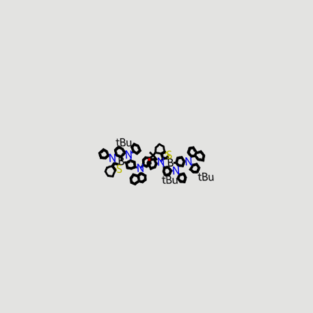 CC(C)(C)c1ccc(N(c2ccc3c(c2)N(c2ccccc2)c2cc(C(C)(C)C)cc4c2B3c2sc3c(c2N4c2ccccc2)C(C(C)(C)c2ccc(N(c4ccc5c(c4)N(c4ccccc4)c4cc(C(C)(C)C)cc6c4B5c4sc5c(c4N6c4ccccc4)CCCC5)c4cccc5ccccc45)cc2)CCC3)c2cccc3ccccc23)cc1